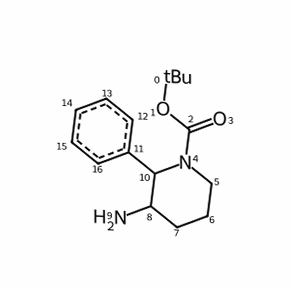 CC(C)(C)OC(=O)N1CCCC(N)C1c1ccccc1